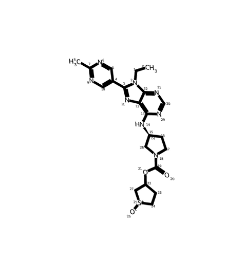 CCn1c(-c2cnc(C)nc2)nc2c(N[C@H]3CCN(C(=O)OC4CC[S+]([O-])C4)C3)ncnc21